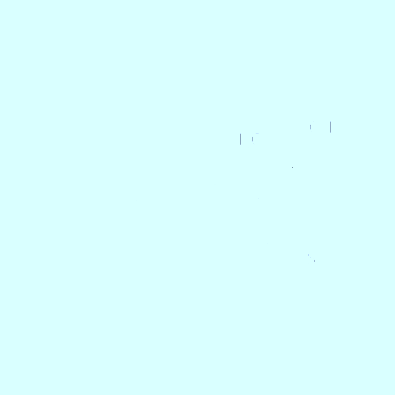 CC1(C)CCSc2ccc(C3[CH]CCCC3)cc21